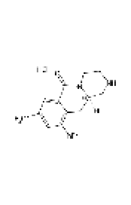 CCCc1cc(C(F)(F)F)cc2c1C[C@@H]1CNCCN1C2=O.Cl